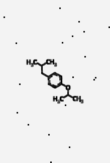 CC(C)Cc1ccc(OC(C)C)cc1